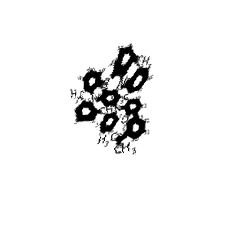 Cc1ccccc1N1c2cc(N(c3ccccc3)c3cccc4c3oc3c(C(C)C)cccc34)cc3c2B(c2cccc(C)c21)c1cccc(C)c1N3c1ccccc1C